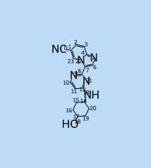 N#Cc1ccc2ncc(-c3nccc(NC4CCC(O)CC4)n3)n2c1